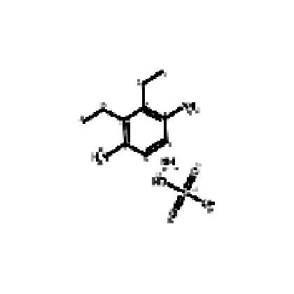 CCc1c(N)ccc(N)c1CC.N.O=S(=O)(O)O